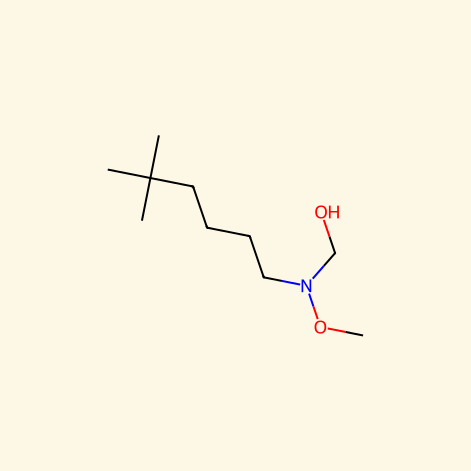 CON(CO)CCCCC(C)(C)C